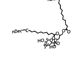 CCCCCCCCCCCCCCCCCCCCCC(=O)OCC(COP(=O)(O)C(C[N+](C)(C)C)OS(=O)(=O)O)OC(=O)CCCCCCCCCCCCCCCCCCCCC